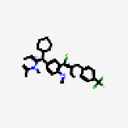 C=Nc1ccc(C(/C(=C/C)N(C)C(=C)C)C2CCCCC2)cc1/C(Cl)=C(\CC)Cc1ccc(C(F)(F)F)cc1